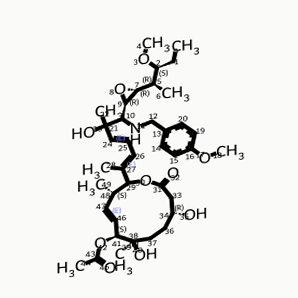 CC[C@H](OC)[C@@H](C)[C@H]1O[C@@H]1C(NCc1ccc(OC)cc1)C(C)(O)/C=C/C=C(\C)C1OC(=O)C[C@H](O)CC[C@@](C)(O)[C@@H](OC(C)=O)/C=C/[C@@H]1C